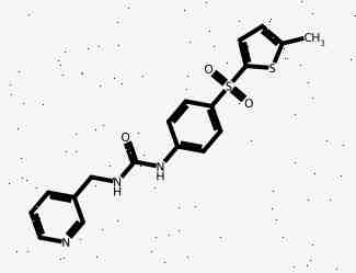 Cc1ccc(S(=O)(=O)c2ccc(NC(=O)NCc3cccnc3)cc2)s1